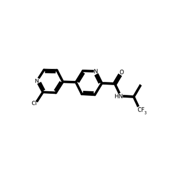 CC(NC(=O)c1ccc(-c2ccnc(Cl)c2)cn1)C(F)(F)F